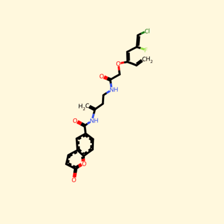 C=C/C(=C\C(F)=C\Cl)OCC(=O)NCCC(=C)NC(=O)c1ccc2oc(=O)ccc2c1